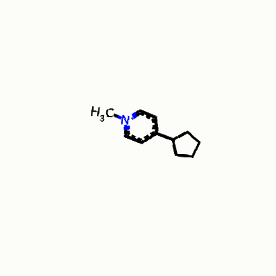 C[n+]1ccc(C2CCCC2)cc1